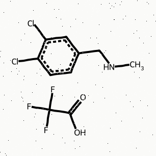 CNCc1ccc(Cl)c(Cl)c1.O=C(O)C(F)(F)F